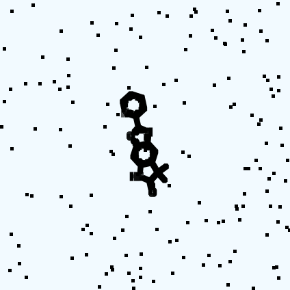 CC1(C)C(=O)Nc2cc3oc(-c4ccccn4)nc3cc21